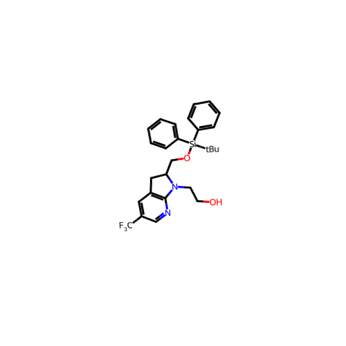 CC(C)(C)[Si](OCC1Cc2cc(C(F)(F)F)cnc2N1CCO)(c1ccccc1)c1ccccc1